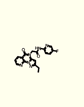 CCc1cc2n(CC(=O)Nc3ccc(F)cn3)c(=O)c3cccnc3n2n1